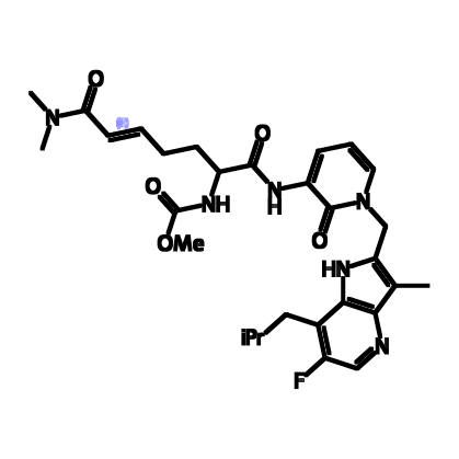 COC(=O)NC(CC/C=C/C(=O)N(C)C)C(=O)Nc1cccn(Cc2[nH]c3c(CC(C)C)c(F)cnc3c2C)c1=O